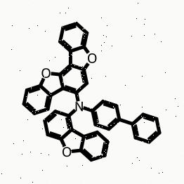 c1ccc(-c2ccc(N(c3cccc4oc5ccccc5c34)c3cc4oc5ccccc5c4c4oc5ccccc5c34)cc2)cc1